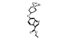 CCOC(=O)c1cnc2cc(OC3CCS(O)(O)CC3)ccn12